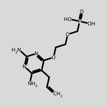 C=CCc1c(N)nc(N)nc1OCCOCP(=O)(O)O